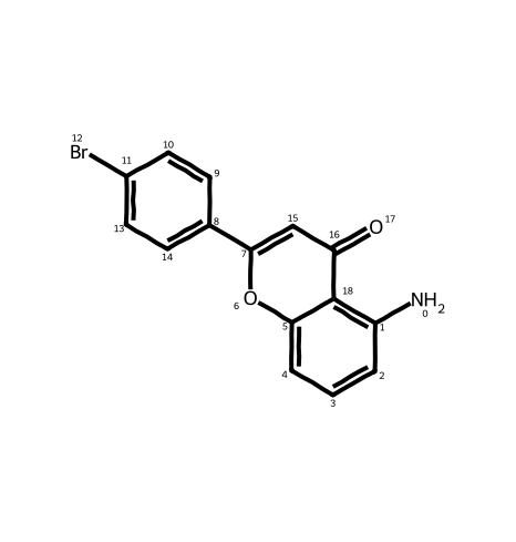 Nc1cccc2oc(-c3ccc(Br)cc3)cc(=O)c12